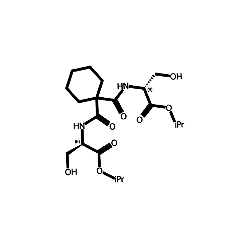 CC(C)OC(=O)[C@@H](CO)NC(=O)C1(C(=O)N[C@H](CO)C(=O)OC(C)C)CCCCC1